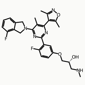 CNC[C@@H](O)COc1ccc(F)c(-c2nc(-c3c(C)noc3C)c(C)c(N3Cc4cccc(F)c4C3)n2)c1